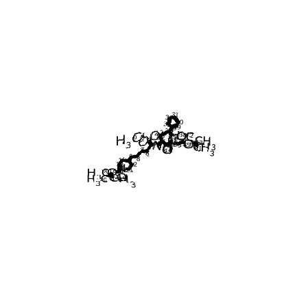 CCOC(=O)C(CCCCC1CCN(C(=O)OC(C)(C)C)CC1)NC1CCC(c2ccccc2)CN(CC(=O)OC(C)(C)C)C1=O